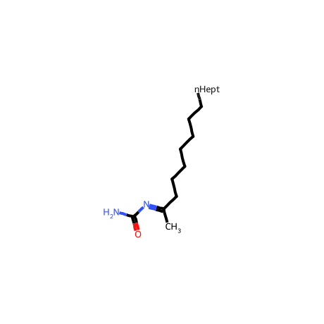 CCCCCCCCCCCCCCC(C)=NC(N)=O